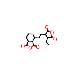 CCC1C(=O)OC(=O)C1CCC1CCCC2C(=O)OC(=O)C12